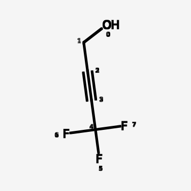 OCC#CC(F)(F)F